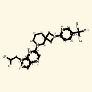 FC(F)Cn1ncc2ncc(N3CCCC4(CN(c5ccc(C(F)(F)F)cn5)C4)C3)nc21